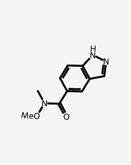 CON(C)C(=O)c1ccc2[nH]ncc2c1